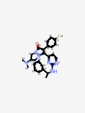 CC(Nc1nccc(-c2c(-c3ccc(F)cc3)c(=O)n3n2CC(N(C)C)C3)n1)c1ccccc1